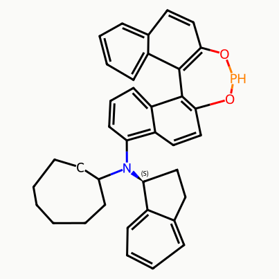 c1ccc2c(c1)CC[C@@H]2N(c1cccc2c1ccc1o[pH]oc3ccc4ccccc4c3c12)C1CCCCCCC1